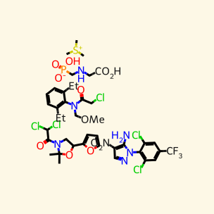 CC1(C)OC(c2ccco2)CN1C(=O)C(Cl)Cl.CCc1cccc(CC)c1N(COC)C(=O)CCl.C[S+](C)C.Nc1c([N+](=O)[O-])cnn1-c1c(Cl)cc(C(F)(F)F)cc1Cl.O=C(O)CNCP(=O)([O-])O